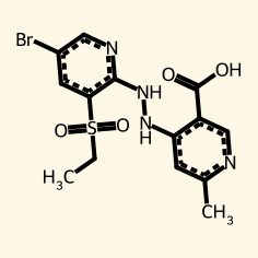 CCS(=O)(=O)c1cc(Br)cnc1NNc1cc(C)ncc1C(=O)O